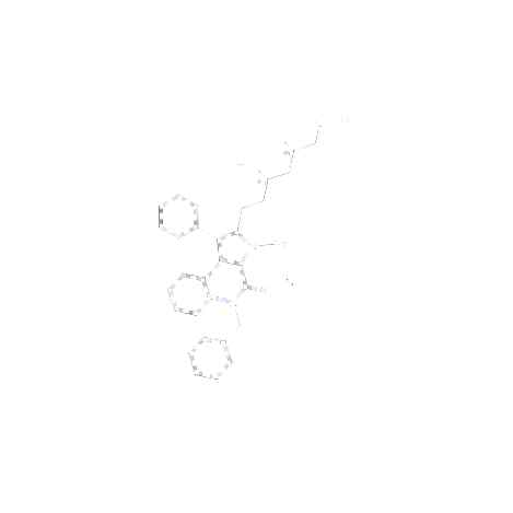 CC(C)n1c(CC[C@@H](O)C[C@@H](O)CC(=O)O)c(-c2ccccc2)c2c3ccccc3n(Cc3ccc(F)cc3)c(=O)c21.[NaH]